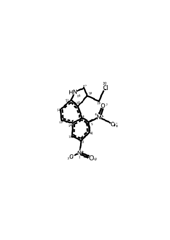 O=[N+]([O-])c1cc([N+](=O)[O-])c2c3c(ccc2c1)NCC3CCl